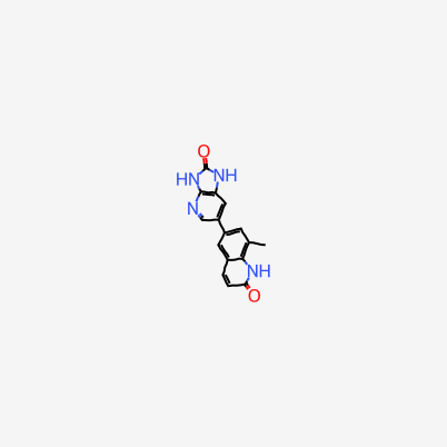 Cc1cc(-c2cnc3[nH]c(=O)[nH]c3c2)cc2ccc(=O)[nH]c12